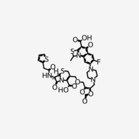 CC1Sc2c(C(=O)O)c(=O)c3cc(F)c(N4CCN(Cc5oc(=O)oc5COCC5=C(C(=O)O)N6C(=O)[C@@H](NC(=O)Cc7cccs7)[C@H]6SC5)CC4)cc3n21